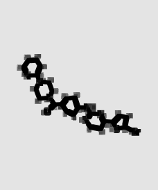 O=C(c1ccc(Nc2nccc(-c3ccc(Br)s3)n2)cc1)N1CCN(c2ccccn2)CC1